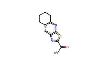 CCCC(=O)c1nc2cc3c(nc2s1)CCCC3